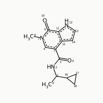 CC(NC(=O)c1cn(C)c(=O)c2[nH]ccc12)C1CC1